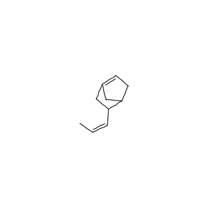 C/C=C\C1CC2=CCC1C2